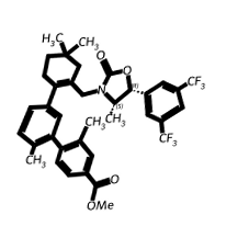 COC(=O)c1ccc(-c2cc(C3=C(CN4C(=O)O[C@H](c5cc(C(F)(F)F)cc(C(F)(F)F)c5)[C@@H]4C)CC(C)(C)CC3)ccc2C)c(C)c1